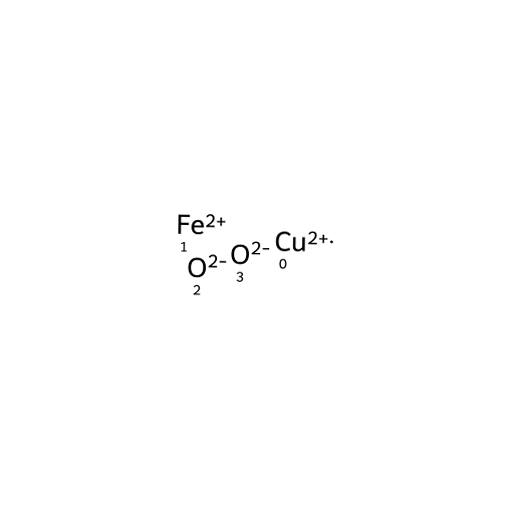 [Cu+2].[Fe+2].[O-2].[O-2]